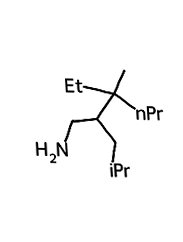 CCCC(C)(CC)C(CN)CC(C)C